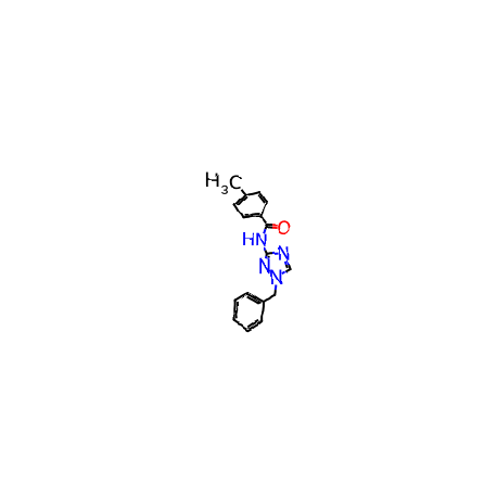 Cc1ccc(C(=O)Nc2ncn(Cc3ccccc3)n2)cc1